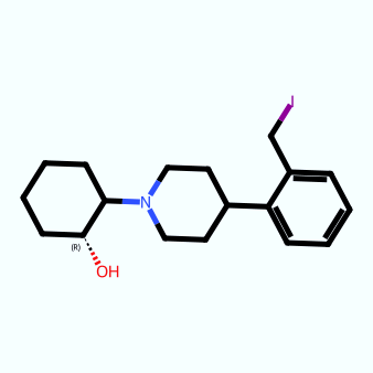 O[C@@H]1CCCCC1N1CCC(c2ccccc2CI)CC1